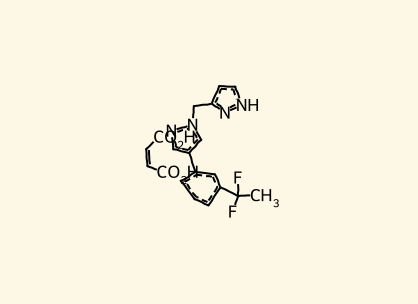 CC(F)(F)c1cccc(-c2cnn(Cc3cc[nH]n3)c2)c1.O=C(O)/C=C\C(=O)O